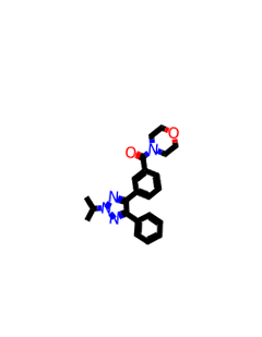 CC(C)n1nc(-c2ccccc2)c(-c2cccc(C(=O)N3CCOCC3)c2)n1